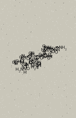 CC(C)N1C[C@@H](COP(=O)(N(C)C)N2C[C@@H](COP(=O)(N(C)C)N3C[C@@H](COP(=O)(N(C)C)N4C[C@@H](COP(=O)(N(C)C)N5C[C@@H](COP(C)(=O)N(C)C)O[C@@H](n6cnc7c(=O)[nH]c(N)nc76)C5)O[C@@H](n5ccc(N)nc5=O)C4)O[C@@H](n4cnc5c(N)ncnc54)C3)O[C@@H](n3cnc4c(=O)[nH]c(N)nc43)C2)O[C@@H](n2ccc(N)nc2=O)C1